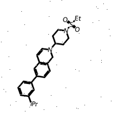 CCS(=O)(=O)N1CCC(N2C=Cc3cc(-c4cccc(C(C)C)c4)ccc3C2)CC1